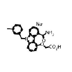 Cc1cccc(Cn2c3cccc(OCC(=O)O)c3c3c(C(N)=O)cccc32)c1.[Na]